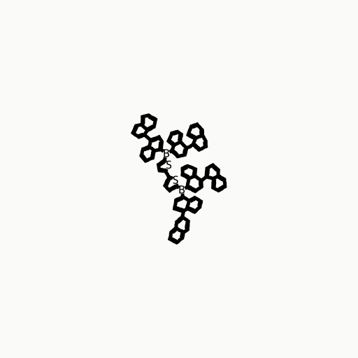 c1ccc2cc(-c3ccc(B(c4ccc(-c5ccc(B(c6ccc(-c7cccc8ccccc78)c7ccccc67)c6ccc(-c7cccc8ccccc78)c7ccccc67)s5)s4)c4ccc(-c5cccc6ccccc56)c5ccccc45)c4ccccc34)ccc2c1